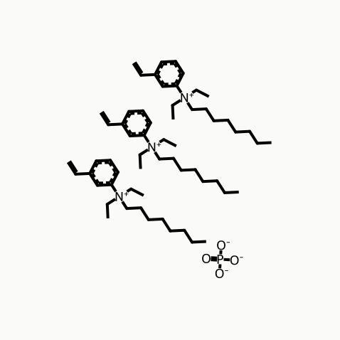 C=Cc1cccc([N+](CC)(CC)CCCCCCCC)c1.C=Cc1cccc([N+](CC)(CC)CCCCCCCC)c1.C=Cc1cccc([N+](CC)(CC)CCCCCCCC)c1.O=P([O-])([O-])[O-]